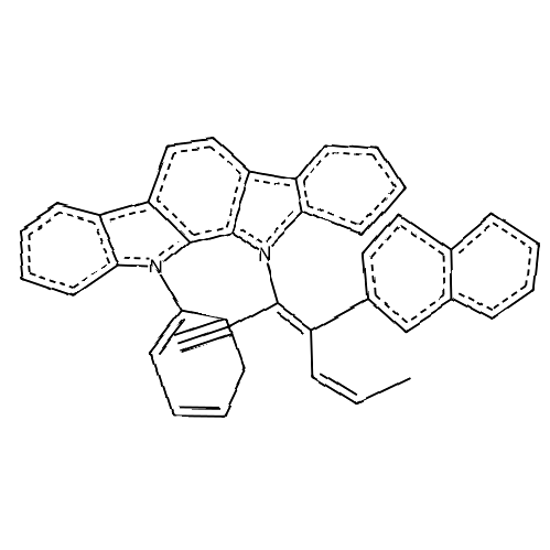 C#C/C(=C(\C=C/C)c1ccc2ccccc2c1)n1c2ccccc2c2ccc3c4ccccc4n(C4=CC=CCC4)c3c21